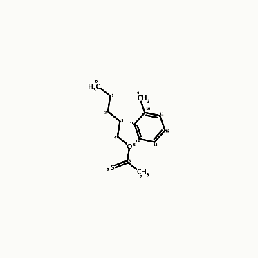 CCCCCOC(C)=S.Cc1ccccc1